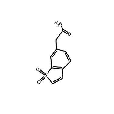 NC(=O)Cc1ccc2c(c1)S(=O)(=O)C=C2